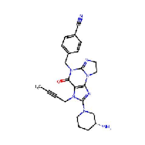 CC#CCn1c(N2CCC[C@@H](N)C2)nc2c1C(=O)N(Cc1ccc(C#N)cc1)C1=NCCN12